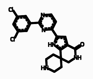 O=C1NCC2(CCNCC2)c2[nH]c(-c3ccnc(-c4cc(Cl)cc(Cl)c4)n3)cc21